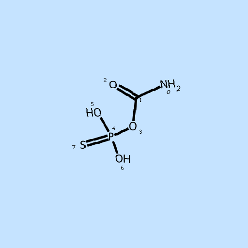 NC(=O)OP(O)(O)=S